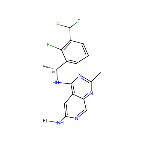 CCNc1cc2c(N[C@H](C)c3cccc(C(F)F)c3F)nc(C)nc2cn1